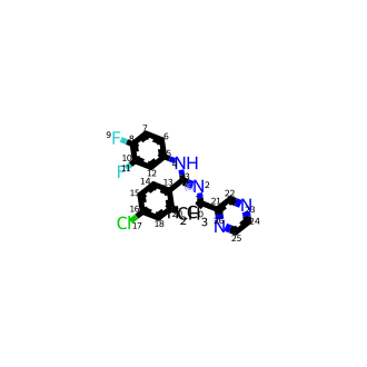 C=C(/N=C(/Nc1ccc(F)c(F)c1)c1ccc(Cl)cc1C)c1cnccn1